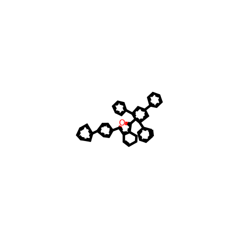 c1cccc(-c2cc(-c3ccccc3)cc(-c3ccccc3)c2-c2oc(-c3ccc(-c4ccccc4)cc3)c3c2CCC=C3)c#1